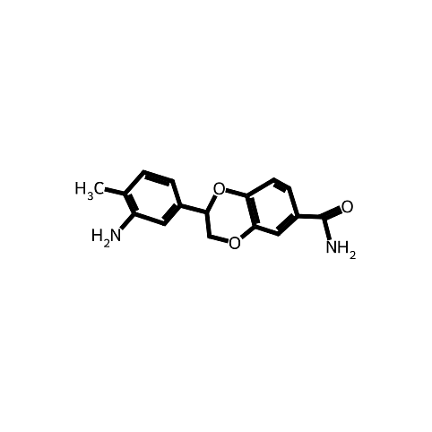 Cc1ccc(C2COc3cc(C(N)=O)ccc3O2)cc1N